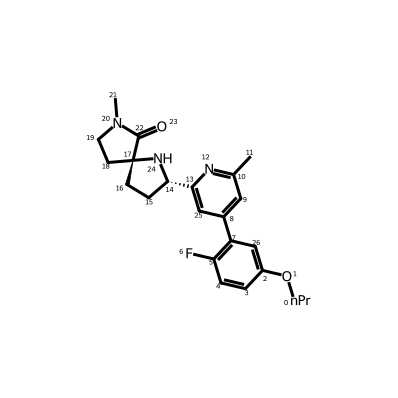 CCCOc1ccc(F)c(-c2cc(C)nc([C@@H]3CC[C@]4(CCN(C)C4=O)N3)c2)c1